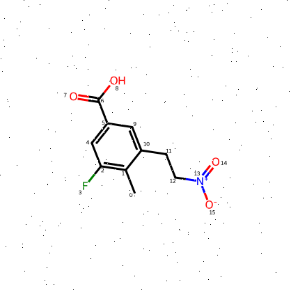 Cc1c(F)cc(C(=O)O)cc1CC[N+](=O)[O-]